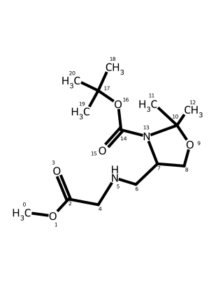 COC(=O)CNCC1COC(C)(C)N1C(=O)OC(C)(C)C